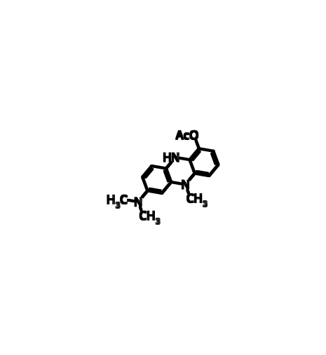 CC(=O)Oc1cccc2c1Nc1ccc(N(C)C)cc1N2C